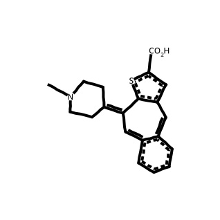 CN1CCC(=C2C=c3ccccc3=Cc3cc(C(=O)O)sc32)CC1